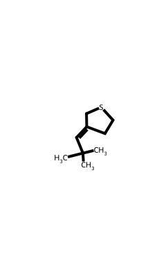 CC(C)(C)/C=C1\CCSC1